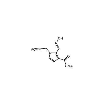 C#CCn1ccc(C(=O)OC)c1C=NO